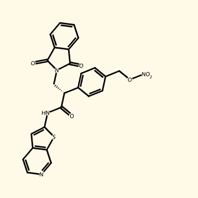 O=C(Nc1cc2ccncc2s1)[C@H](CN1C(=O)c2ccccc2C1=O)c1ccc(CO[N+](=O)[O-])cc1